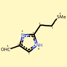 CSCCc1nc(C=O)c[nH]1